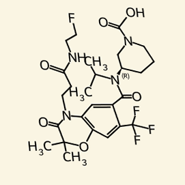 CC(C)N(C(=O)c1cc2c(cc1C(F)(F)F)OC(C)(C)C(=O)N2CCC(=O)NCCF)[C@@H]1CCCN(C(=O)O)C1